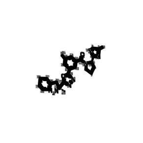 Cc1csc([C@H]2CCCN2C(=O)c2cc(I)cc(-c3nnc([C@@](C)(N)Cc4ccccc4)o3)c2)n1